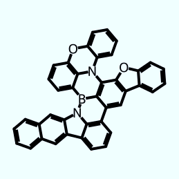 c1ccc2c(c1)Oc1cccc3c1N2c1c2c(cc4c1oc1ccccc14)-c1cccc4c5cc6ccccc6cc5n(c14)B32